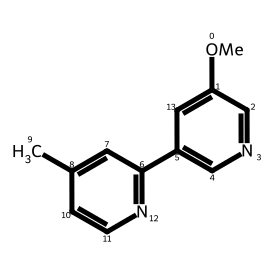 COc1cncc(-c2cc(C)ccn2)c1